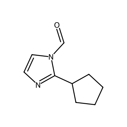 O=Cn1ccnc1C1CCCC1